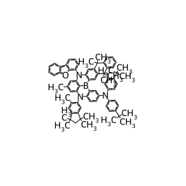 Cc1cc2c3c(c1)N(c1cccc4c1oc1ccccc14)c1cc4c(cc1B3c1cc(N(c3ccc(C(C)(C)C)cc3)c3ccc(C(C)(C)C)cc3)ccc1N2c1cc2c(cc1C)C(C)(C)CC2(C)C)C(C)(C)c1ccccc1C4(C)C